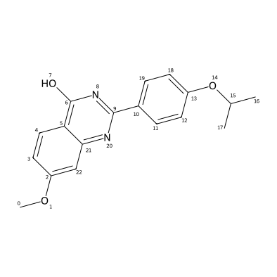 COc1ccc2c(O)nc(-c3ccc(OC(C)C)cc3)nc2c1